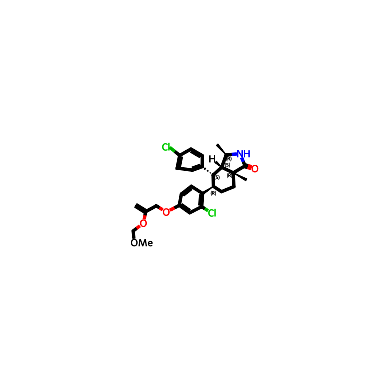 C=C(COc1ccc([C@@H]2CC[C@@]3(C)C(=O)N[C@H](C)[C@H]3[C@H]2c2ccc(Cl)cc2)c(Cl)c1)OCOC